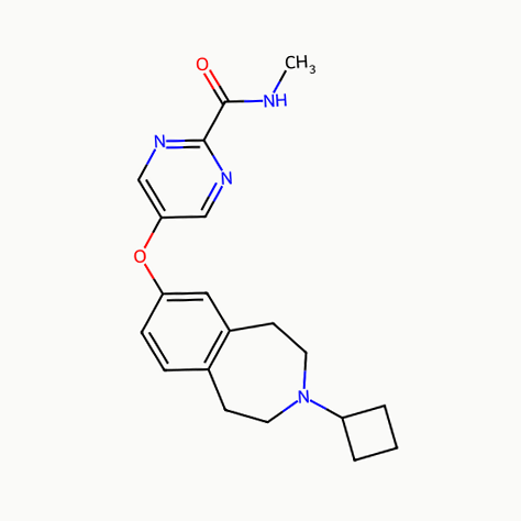 CNC(=O)c1ncc(Oc2ccc3c(c2)CCN(C2CCC2)CC3)cn1